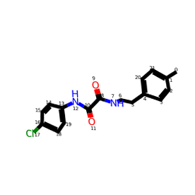 Cc1ccc(CCNC(=O)C(=O)Nc2ccc(Cl)cc2)cc1